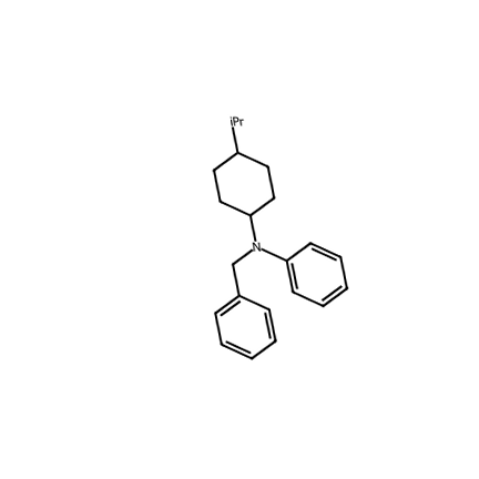 CC(C)C1CCC(N(Cc2ccccc2)c2ccccc2)CC1